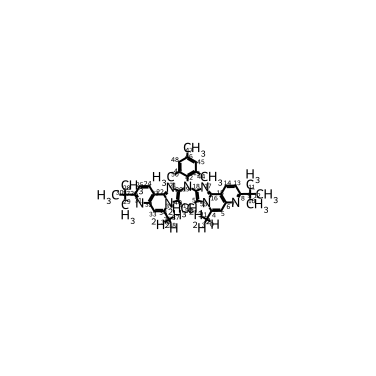 [2H]C([2H])([2H])c1cc2nc(C(C)(C)C)ccc2c2nc(N(c3nc4c5ccc(C(C)(C)C)nc5cc(C([2H])([2H])[2H])n4c3C)c3c(C)cc(C)cc3C)c(C)n12